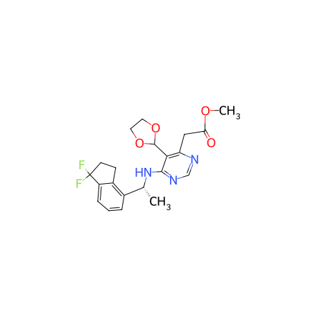 COC(=O)Cc1ncnc(N[C@H](C)c2cccc3c2CCC3(F)F)c1C1OCCO1